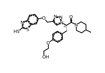 CC1CCN(C(=O)[C@H](Cc2ccc(OCCO)cc2)n2cc(COc3ccc4nc(S)sc4c3)nn2)CC1